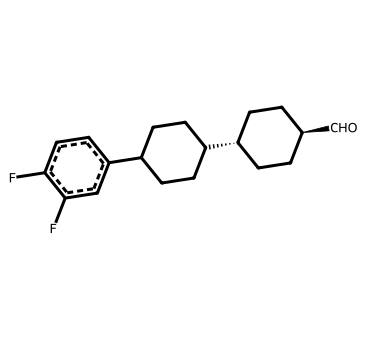 O=C[C@H]1CC[C@H](C2CCC(c3ccc(F)c(F)c3)CC2)CC1